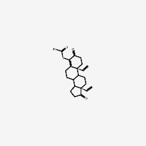 C=C[C@]12CCC(=O)C(OC(=O)CC)=C1CCC1C2CC[C@]2(C=C)C(=O)CCC12